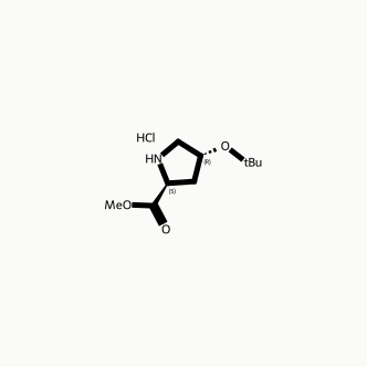 COC(=O)[C@@H]1C[C@@H](OC(C)(C)C)CN1.Cl